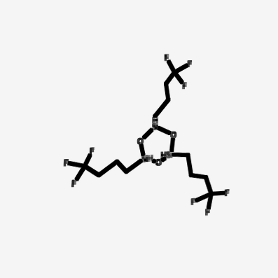 FC(F)(F)CCC[SiH]1O[SiH](CCCC(F)(F)F)O[SiH](CCCC(F)(F)F)O1